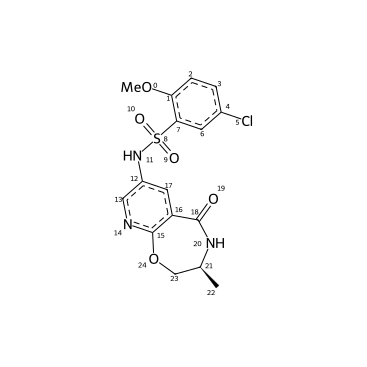 COc1ccc(Cl)cc1S(=O)(=O)Nc1cnc2c(c1)C(=O)N[C@@H](C)CO2